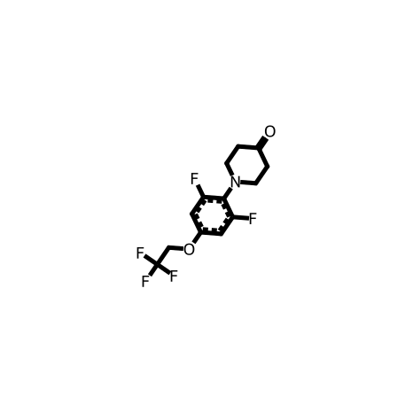 O=C1CCN(c2c(F)cc(OCC(F)(F)F)cc2F)CC1